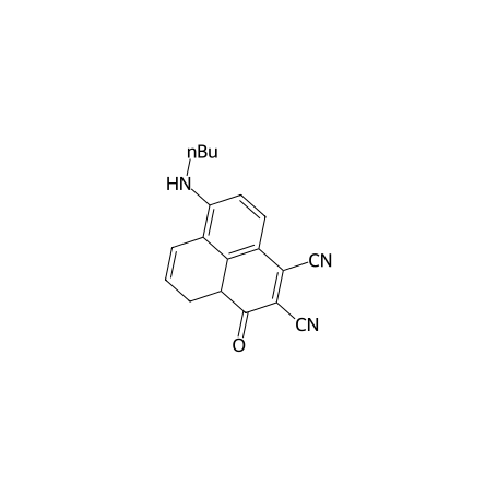 CCCCNc1ccc2c3c1C=CCC3C(=O)C(C#N)=C2C#N